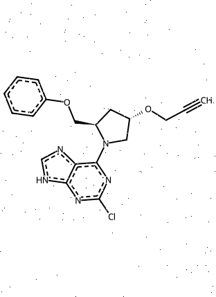 C#CCO[C@H]1C[C@H](COc2ccccc2)N(c2nc(Cl)nc3[nH]cnc23)C1